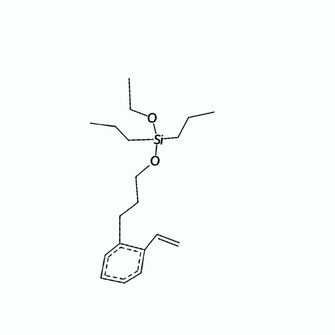 C=Cc1ccccc1CCCO[Si](CCC)(CCC)OCC